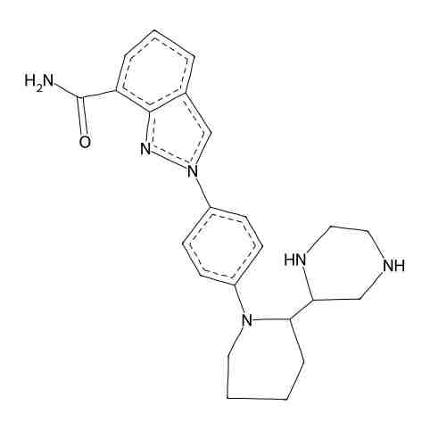 NC(=O)c1cccc2cn(-c3ccc(N4CCCCC4C4CNCCN4)cc3)nc12